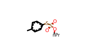 CCCOS(=O)(=O)Sc1ccc(C)cc1